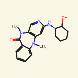 CN1C(=O)c2ccccc2N(C)c2cc(N[C@@H]3CCCCC3O)ncc21